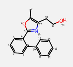 Cc1oc(-c2ccccc2-c2ccccc2)nc1CCO